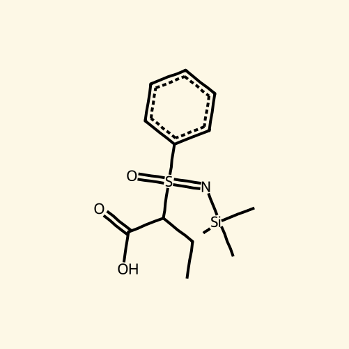 CCC(C(=O)O)S(=O)(=N[Si](C)(C)C)c1ccccc1